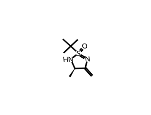 C=C1N=S(=O)(C(C)(C)C)N[C@@H]1C